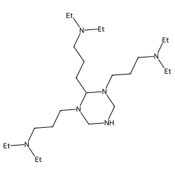 CCN(CC)CCCC1N(CCCN(CC)CC)CNCN1CCCN(CC)CC